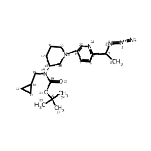 CC(N=[N+]=[N-])c1ccc(N2CCC[C@@H](N(CC3CC3)C(=O)OC(C)(C)C)C2)cn1